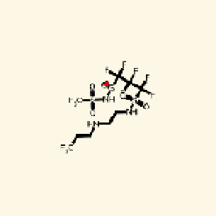 O=S(=O)(NS(=O)(=O)C(F)(F)C(F)(F)C(F)(F)S(=O)(=O)NCCNCCC(F)(F)F)C(F)(F)F